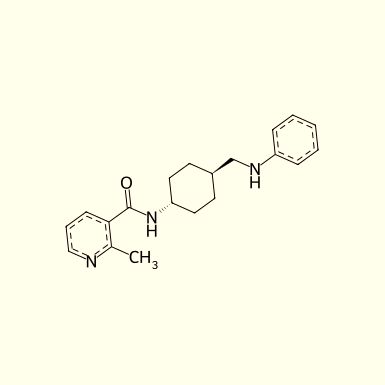 Cc1ncccc1C(=O)N[C@H]1CC[C@H](CNc2ccccc2)CC1